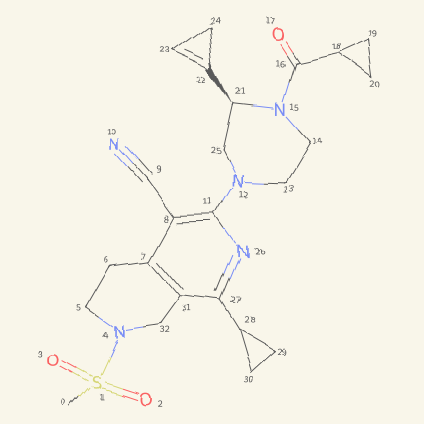 CS(=O)(=O)N1CCc2c(C#N)c(N3CCN(C(=O)C4CC4)[C@H](C4=CC4)C3)nc(C3CC3)c2C1